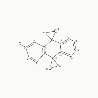 Cc1ccc2c(c1)C1(CO1)c1ccccc1C21CO1